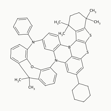 CC1(C)CCC(C)(C)c2c1sc1c2B2c3ccc4cc3N(c3cccc5c3Oc3c(cccc3C5(C)C)N4c3ccccc3)c3cc(C4CCCCC4)cc(c32)S1